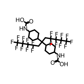 O=C(O)NC1CCC(C(CC(F)(F)C(F)(F)C(F)(F)C(F)(F)F)(CC(F)(F)C(F)(F)C(F)(F)C(F)(F)F)C2CCC(NC(=O)O)CC2)CC1